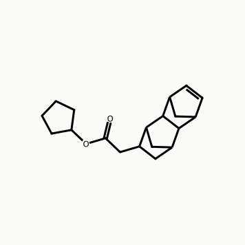 O=C(CC1CC2CC1C1C3C=CC(C3)C21)OC1CCCC1